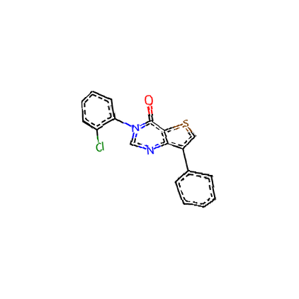 O=c1c2scc(-c3ccccc3)c2ncn1-c1ccccc1Cl